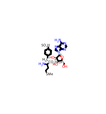 CSCCC(N)C(=O)O.Cc1ccc(S(=O)(=O)O)cc1.Nc1ncnc2c1ncn2[C@@H]1O[C@H](CO)[C@@H](O)[C@H]1O